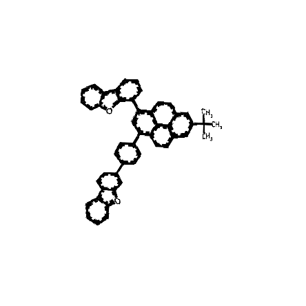 CC(C)(C)c1cc2ccc3c(-c4ccc(-c5ccc6c(c5)oc5ccccc56)cc4)cc(-c4cccc5c4oc4ccccc45)c4ccc(c1)c2c34